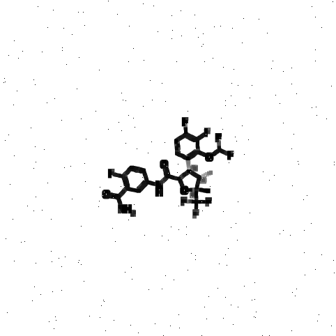 C[C@H]1[C@@H](c2ccc(F)c(F)c2OC(F)F)C(C(=O)Nc2ccc(F)c(C(N)=O)c2)O[C@@]1(C)C(F)(F)F